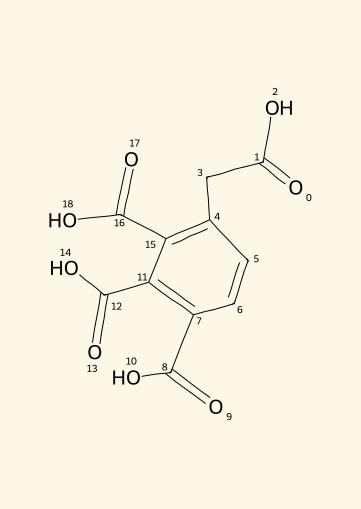 O=C(O)Cc1ccc(C(=O)O)c(C(=O)O)c1C(=O)O